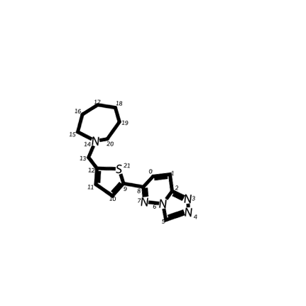 c1cc2nncn2nc1-c1ccc(CN2CCCCCC2)s1